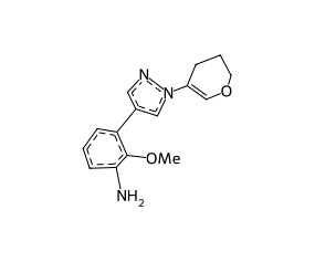 COc1c(N)cccc1-c1cnn(C2=COCCC2)c1